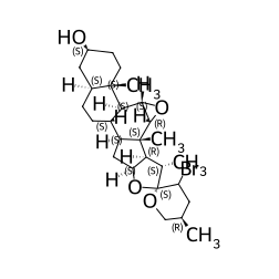 C[C@H]1CO[C@@]2(O[C@H]3C[C@H]4[C@@H]5CC[C@H]6C[C@@H](O)CC[C@]6(C)[C@H]5[C@@H]5O[C@@H]5[C@]4(C)[C@H]3[C@@H]2C)C(Br)C1